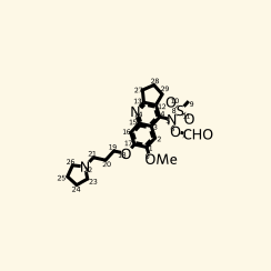 COc1cc2c(N(OC=O)S(C)(=O)=O)c3c(nc2cc1OCCCN1CCCC1)CCC3